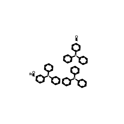 [C]=O.[C]=O.[Ru].c1ccc(P(c2ccccc2)c2ccccc2)cc1.c1ccc(P(c2ccccc2)c2ccccc2)cc1.c1ccc(P(c2ccccc2)c2ccccc2)cc1